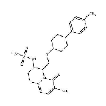 Cc1ccc(C2CCC(OCC3C(NS(C)(=O)=O)CCc4ccc(C)c(=O)n43)CC2)cc1